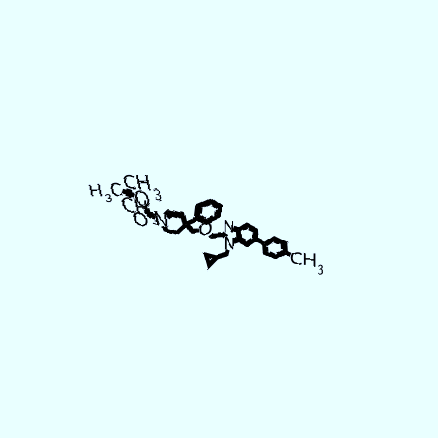 Cc1ccc(-c2ccc3nc(COCC4(c5ccccc5)CCN(C(=O)OC(C)(C)C)CC4)n(CC4CC4)c3c2)cc1